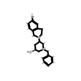 C[C@H]1CC(N2CCc3cc(Br)ccc3C2)CN(Cc2ccccc2)C1